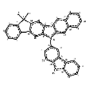 CC1(C)c2ccccc2-c2cc3c(cc21)c1cc2ccccc2cc1n3-c1ccc2oc3ccccc3c2c1